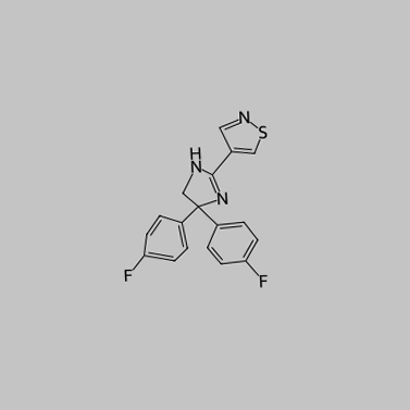 Fc1ccc(C2(c3ccc(F)cc3)CNC(c3cnsc3)=N2)cc1